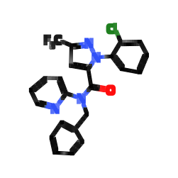 O=C(c1cc(C(F)(F)F)nn1-c1ccccc1Cl)N(Cc1ccccc1)c1ccccn1